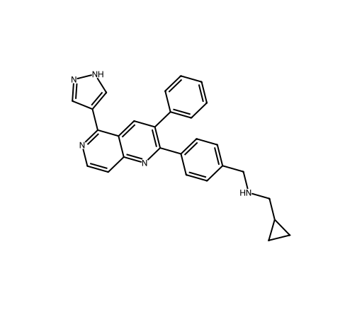 c1ccc(-c2cc3c(-c4cn[nH]c4)nccc3nc2-c2ccc(CNCC3CC3)cc2)cc1